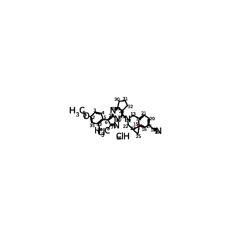 COc1ccc(-c2c(C)nn3c(N(Cc4ccc(C#N)cc4)CC4CC4)c4c(nc23)CCC4)c(Cl)c1.Cl